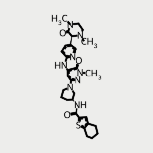 CN1CCN(C)[C@@H](c2ccc(Nc3cc(N4CCC[C@@H](NC(=O)c5cc6c(s5)CCCC6)C4)nn(C)c3=O)nc2)C1=O